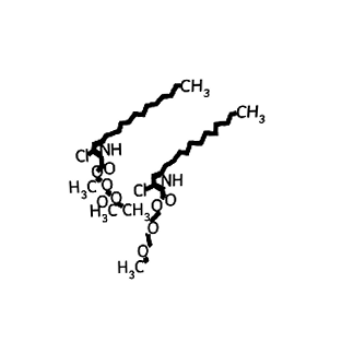 CCCCCCCCCCCCc1cc(Cl)c(C(=O)OC(C)OC(=O)OC(C)C)[nH]1.CCCCCCCCCCCCc1cc(Cl)c(C(=O)OCCOCCOCC)[nH]1